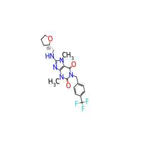 Cn1c(NC[C@@H]2CCCO2)nc2c1c(=O)n(Cc1ccc(C(F)(F)F)cc1)c(=O)n2C